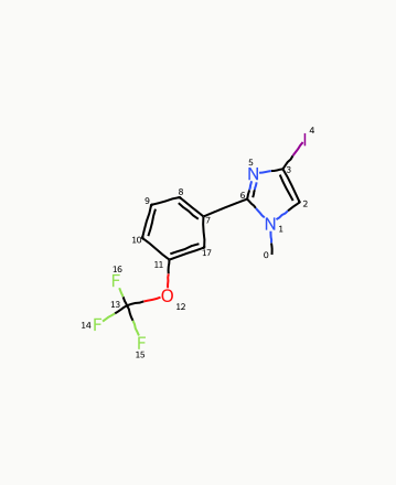 Cn1cc(I)nc1-c1cccc(OC(F)(F)F)c1